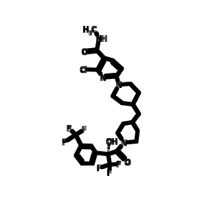 CNC(=O)c1ccc(N2CCC(CC3CCN(C(=O)[C@](O)(c4cccc(C(F)(F)F)c4)C(F)(F)F)CC3)CC2)nc1Cl